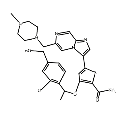 CC(Oc1cc(-c2cnc3cnc(CN4CCN(C)CC4)cn23)sc1C(N)=O)c1ccc(CO)cc1Cl